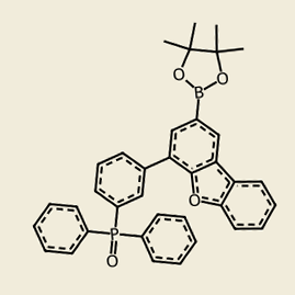 CC1(C)OB(c2cc(-c3cccc(P(=O)(c4ccccc4)c4ccccc4)c3)c3oc4ccccc4c3c2)OC1(C)C